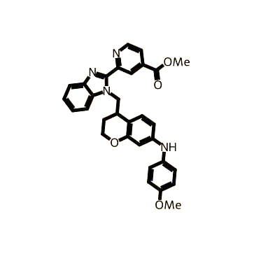 COC(=O)c1ccnc(-c2nc3ccccc3n2CC2CCOc3cc(Nc4ccc(OC)cc4)ccc32)c1